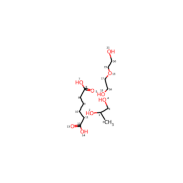 CC(O)CO.O=C(O)CCCCC(=O)O.OCCOCCO